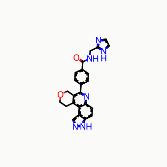 O=C(NCc1ncc[nH]1)c1ccc(-c2nc3ccc4[nH]ncc4c3c3c2COCC3)cc1